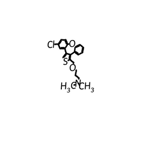 CN(C)CCCOCc1scc2c1-c1ccccc1Oc1ccc(Cl)cc1-2